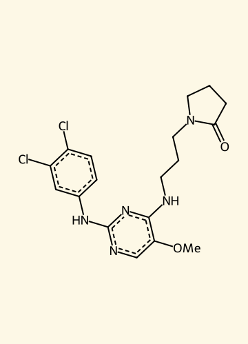 COc1cnc(Nc2ccc(Cl)c(Cl)c2)nc1NCCCN1CCCC1=O